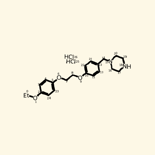 CCOc1ccc(OCCOc2ccc(CN3CCNCC3)cc2)cc1.Cl.Cl